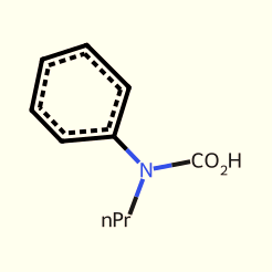 [CH2]CCN(C(=O)O)c1ccccc1